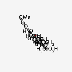 COCCOCCOCCNC(=O)COC(=O)[C@H]1CC[C@]2(C)[C@H]3C(=O)C=C4[C@@H]5C[C@@](C)(C(=O)O)CC[C@]5(C)CC[C@@]4(C)[C@]3(C)CC[C@H]2C1(C)C